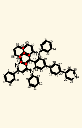 c1ccc(-c2cc(N(c3ccccc3)c3cc(-c4ccc(-c5ccncc5)cc4)cc(N(c4ccccc4)c4ccccc4)c3-c3ccccc3)cc(-c3ccccc3)n2)cc1